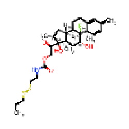 C=C1C=C[C@]2(C)C(=C1)CC[C@@H]1[C@H]3C[C@H](C)[C@@](O)(C(=O)COC(=O)NCCSSCCC)[C@]3(C)C[C@@H](O)[C@]12F